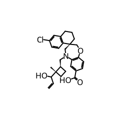 C=CC(O)[C@@]1(C)CC[C@@H]1CN1C[C@@]2(CCCc3cc(Cl)ccc32)COc2ccc(C(=O)O)cc21